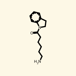 NCCCCCC(=O)N1CCc2ccccc21